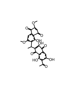 COC1=CC(=O)c2c(cc(OC)c(C(C)C3=C(O)C(=O)c4cc(O)c(C(C)=O)c(O)c4C3=O)c2O)C1=O